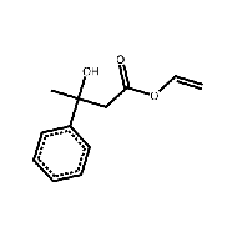 C=COC(=O)CC(C)(O)c1ccccc1